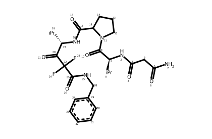 CC(C)[C@H](NC(=O)CC(N)=O)C(=O)N1CCCC1C(=O)N[C@H](C(=O)C(F)(F)C(=O)NCc1ccccc1)C(C)C